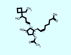 CCC1(C(O)C/C=C/[C@@H]2[C@@H](C/C=C\CCCC(=O)O)[C@@H](OC(C)=O)C[C@H]2O)CCC1